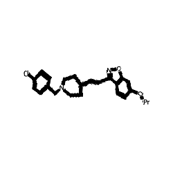 CC(C)Oc1ccc2c(CCC3CCN(Cc4ccc(Cl)cc4)CC3)noc2c1